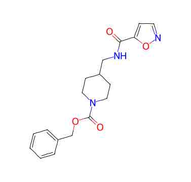 O=C(NCC1CCN(C(=O)OCc2ccccc2)CC1)c1ccno1